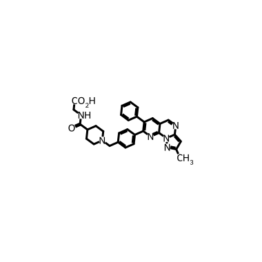 Cc1cc2ncc3cc(-c4ccccc4)c(-c4ccc(CN5CCC(C(=O)NCC(=O)O)CC5)cc4)nc3n2n1